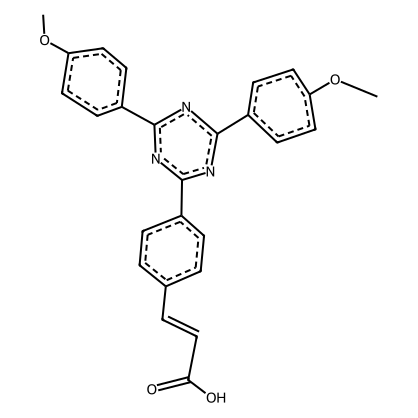 COc1ccc(-c2nc(-c3ccc(/C=C/C(=O)O)cc3)nc(-c3ccc(OC)cc3)n2)cc1